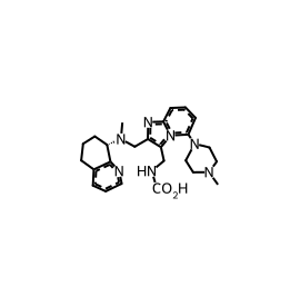 CN1CCN(c2cccc3nc(CN(C)[C@H]4CCCc5cccnc54)c(CNC(=O)O)n23)CC1